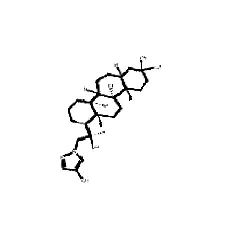 CCC[C@@]1(O)CC[C@@]2(C)[C@H](CC[C@@H]3[C@@H]2CC[C@@]2(C)[C@H]3CCC[C@@H]2[C@@](C)(O)Cn2cc(C#N)cn2)C1